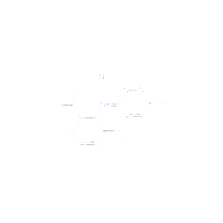 CC(C)c1cccc(C(C)C)c1N=c1ccc(Cl)n[nH]1.[Ni]